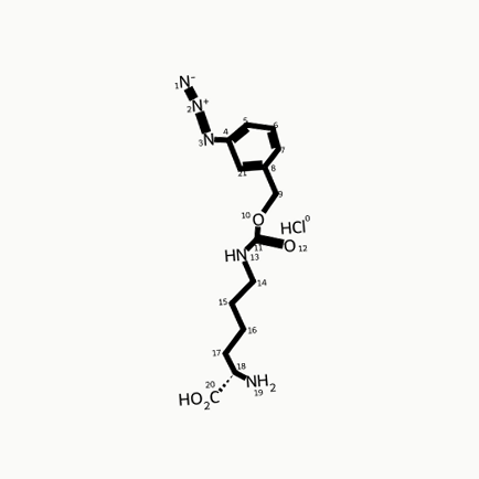 Cl.[N-]=[N+]=Nc1cccc(COC(=O)NCCCC[C@H](N)C(=O)O)c1